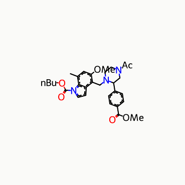 CCCCOC(=O)n1ccc2c(CN3CCN(C(C)=O)CC3c3ccc(C(=O)OC)cc3)c(OC)cc(C)c21